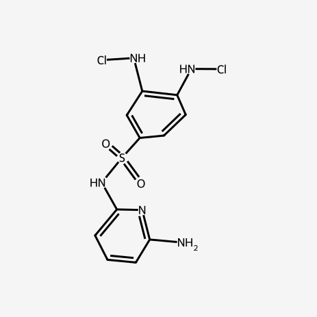 Nc1cccc(NS(=O)(=O)c2ccc(NCl)c(NCl)c2)n1